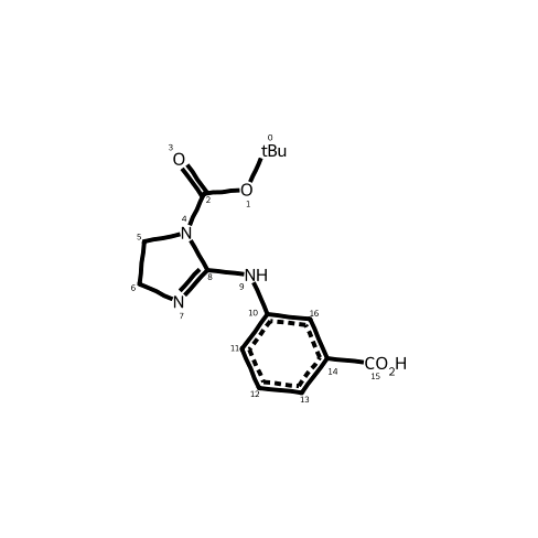 CC(C)(C)OC(=O)N1CCN=C1Nc1cccc(C(=O)O)c1